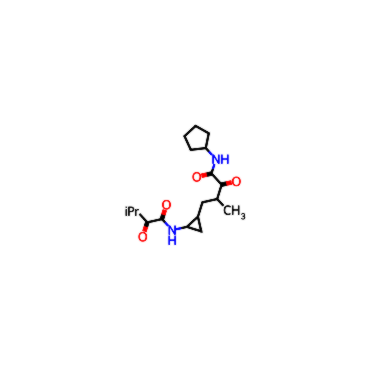 CC(C)C(=O)C(=O)NC1CC1CC(C)C(=O)C(=O)NC1CCCC1